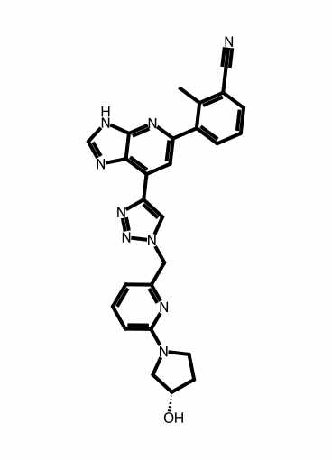 Cc1c(C#N)cccc1-c1cc(-c2cn(Cc3cccc(N4CC[C@H](O)C4)n3)nn2)c2nc[nH]c2n1